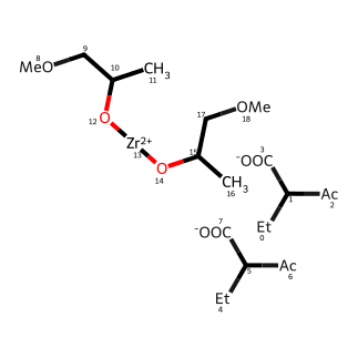 CCC(C(C)=O)C(=O)[O-].CCC(C(C)=O)C(=O)[O-].COCC(C)[O][Zr+2][O]C(C)COC